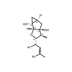 CC(=O)/C(C)=C\N(C(C)=O)[C@@H]1O[C@@H]2[C@@]3(O)C[C@H]3C[C@]2(O)[C@H]1F